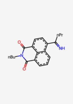 CCCCN1C(=O)c2cccc3c(C(=N)CCC)ccc(c23)C1=O